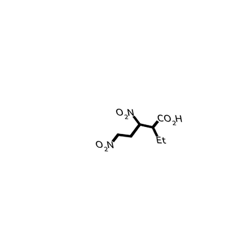 CCC(C(=O)O)C(CC[N+](=O)[O-])[N+](=O)[O-]